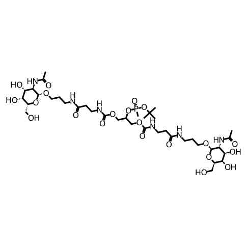 CC(=O)N[C@H]1[C@H](OCCCNC(=O)CCNC(=O)OCC(COC(=O)NCCC(=O)NCCCO[C@@H]2O[C@H](CO)[C@H](O)[C@H](O)[C@H]2NC(C)=O)OP(C)(=O)OC(C)(C)C)O[C@H](CO)[C@H](O)[C@@H]1O